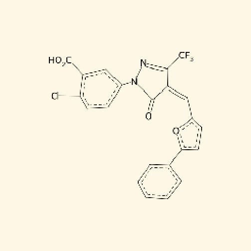 O=C(O)c1cc(N2N=C(C(F)(F)F)/C(=C/c3ccc(-c4ccccc4)o3)C2=O)ccc1Cl